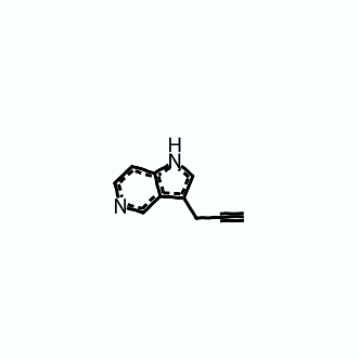 C#CCc1c[nH]c2ccncc12